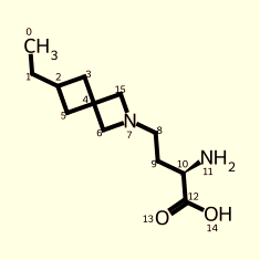 CCC1CC2(C1)CN(CC[C@@H](N)C(=O)O)C2